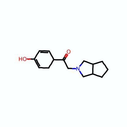 O=C(CN1CC2CCCC2C1)C1C=CC(O)=CC1